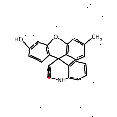 Cc1ccc2c(c1)Oc1cc(O)ccc1C21c2ccccc2Nc2ccccc21